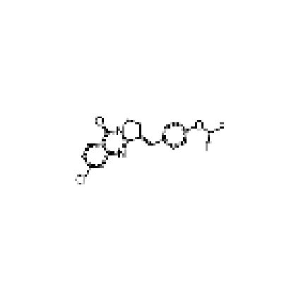 O=c1c2ccc(Cl)cc2nc2n1CC/C2=C\c1ccc(OC(F)F)cc1